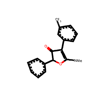 CNC1=C(c2cccc(C(F)(F)F)c2)C(=O)C(c2ccccc2)O1